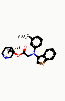 CCOC(=O)c1cccc(N(CC(=O)O[C@H]2CN3CCC2CC3)c2csc3ccccc23)c1